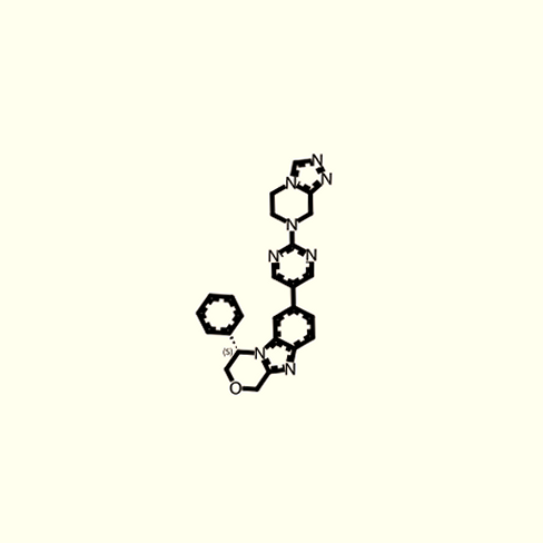 c1ccc([C@H]2COCc3nc4ccc(-c5cnc(N6CCn7cnnc7C6)nc5)cc4n32)cc1